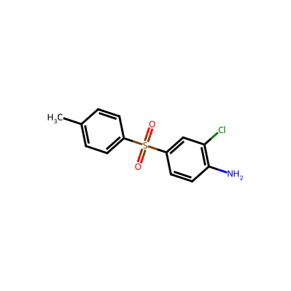 Cc1ccc(S(=O)(=O)c2ccc(N)c(Cl)c2)cc1